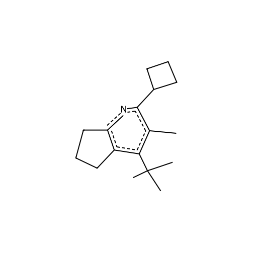 Cc1c(C2CCC2)nc2c(c1C(C)(C)C)CCC2